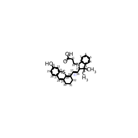 CC1(C)c2ccccc2N(CCC(=O)O)C1/C=C/C1=C2Sc3cc(O)ccc3C=C2CCC1